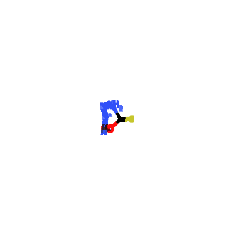 NC(O)=S.[N-]=[N+]=N